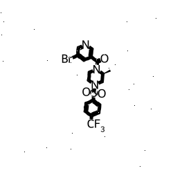 C[C@H]1CN(S(=O)(=O)c2ccc(C(F)(F)F)cc2)CCN1C(=O)c1cncc(Br)c1